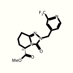 COC(=O)[C@@H]1CCCc2nn(Cc3ccnc(C(F)(F)F)c3)c(=O)n21